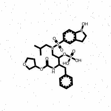 CC(C)CN(CC(OP(=O)(O)O)C(Cc1ccccc1)NC(=O)OC1CCOC1)S(=O)(=O)c1ccc2c(c1)CCB2O